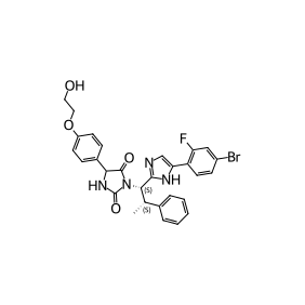 C[C@@H](c1ccccc1)[C@@H](c1ncc(-c2ccc(Br)cc2F)[nH]1)N1C(=O)NC(c2ccc(OCCO)cc2)C1=O